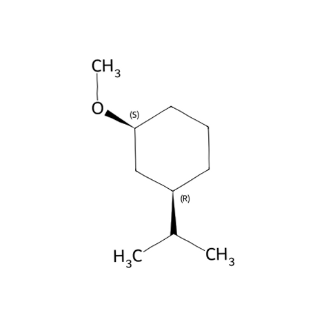 CO[C@H]1CCC[C@@H](C(C)C)C1